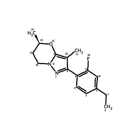 CCc1ccc(-c2nn3c(c2C)O[C@H](C)CC3)c(F)c1